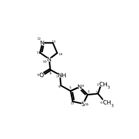 CC(C)c1nc(CNC(=O)N2C=NCC2)cs1